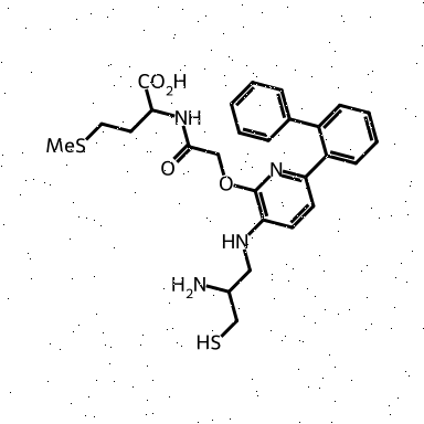 CSCCC(NC(=O)COc1nc(-c2ccccc2-c2ccccc2)ccc1NCC(N)CS)C(=O)O